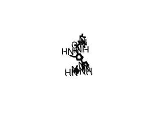 Cc1n[nH]cc1Nc1nccc(-c2ccc3c(c2)CCNC[C@H]3NC(=O)c2cn(C(C)(C)C)nn2)n1